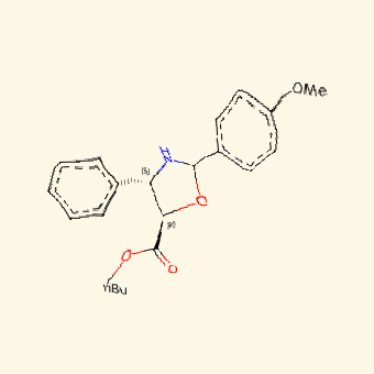 CCCCOC(=O)[C@@H]1OC(c2ccc(OC)cc2)N[C@H]1c1ccccc1